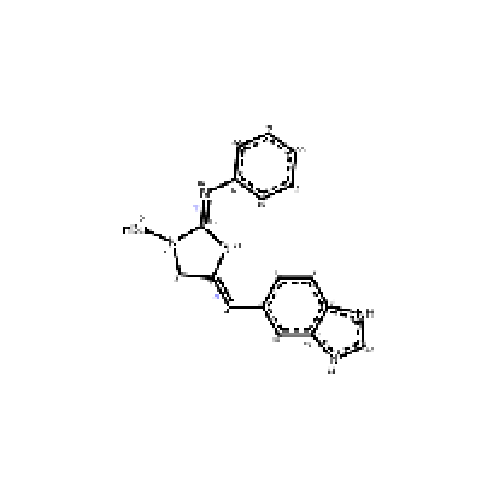 CCCCN1C/C(=C/c2ccc3[nH]cnc3c2)S/C1=N\c1ccccc1